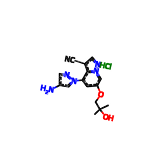 CC(C)(O)COc1cc(-n2cc(N)cn2)c2c(C#N)cnn2c1.Cl